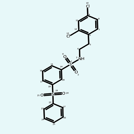 O=S(=O)(NCCc1ccc(Cl)cc1Cl)c1cccc(S(=O)(=O)c2ccccc2)c1